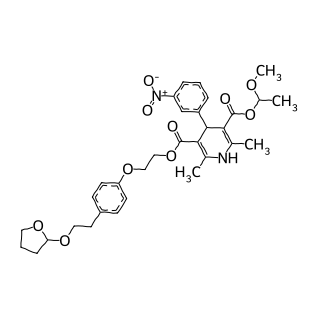 COC(C)OC(=O)C1=C(C)NC(C)=C(C(=O)OCCOc2ccc(CCOC3CCCO3)cc2)C1c1cccc([N+](=O)[O-])c1